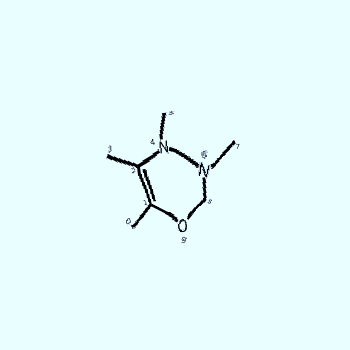 CC1=C(C)N(C)N(C)CO1